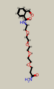 NC(=O)CCOCCOCCOCCOCCNC(=O)c1ccccc1C=O